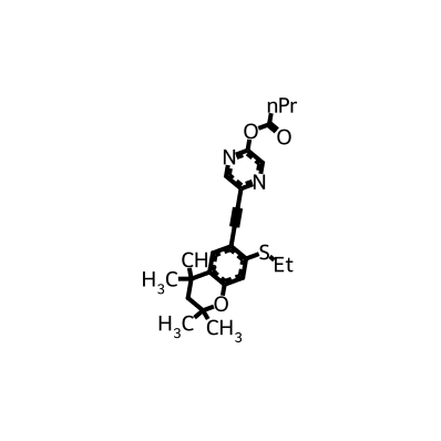 CCCC(=O)Oc1cnc(C#Cc2cc3c(cc2SCC)OC(C)(C)CC3(C)C)cn1